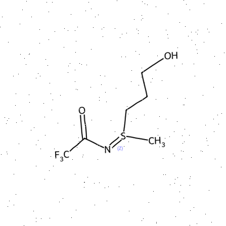 C/S(CCCO)=N/C(=O)C(F)(F)F